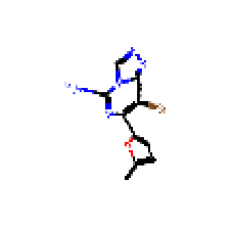 Cc1ccc(-c2nc(N)n3cnnc3c2Br)o1